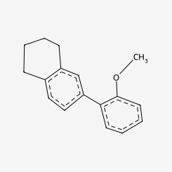 COc1ccccc1-c1ccc2c(c1)CCCC2